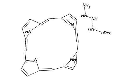 C1=Cc2cc3ccc(cc4nc(cc5ccc(cc1n2)[nH]5)C=C4)[nH]3.CCCCCCCCCCNNNN